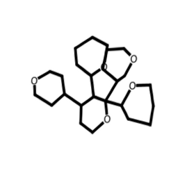 C1CCC([C]2C(C3CCOCC3)CCOC2(C2CCCOC2)C2CCCCO2)OC1